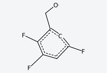 [O]Cc1cc(F)cc(F)c1F